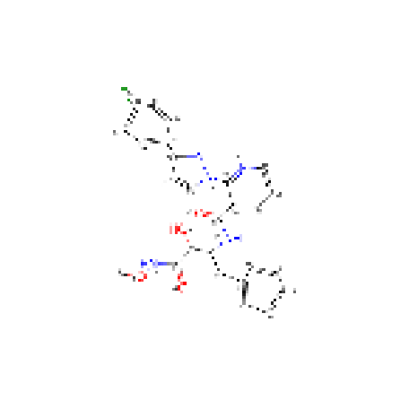 CONC(=O)C(O)C(Cc1ccccc1)NC(=O)c1cccnc1-n1ccc(-c2ccc(F)cc2)n1